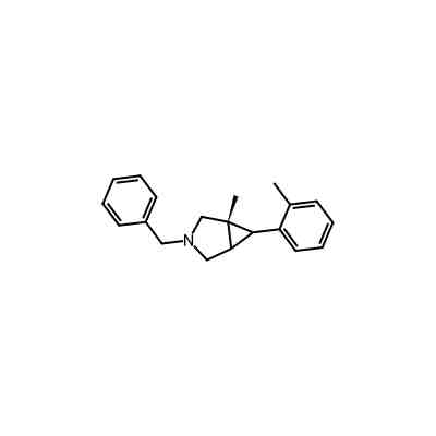 Cc1ccccc1C1C2CN(Cc3ccccc3)C[C@@]21C